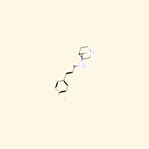 O=C(C=Cc1ccc(O)cc1)NC1CN2CCC1CC2